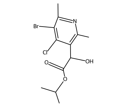 Cc1nc(C)c(C(O)C(=O)OC(C)C)c(Cl)c1Br